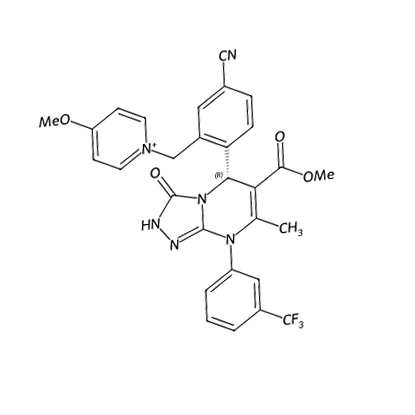 COC(=O)C1=C(C)N(c2cccc(C(F)(F)F)c2)c2n[nH]c(=O)n2[C@@H]1c1ccc(C#N)cc1C[n+]1ccc(OC)cc1